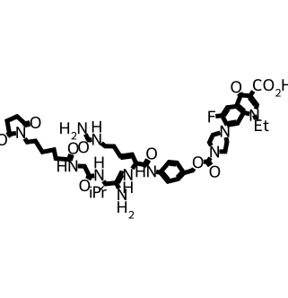 CCn1cc(C(=O)O)c(=O)c2cc(F)c(N3CCN(C(=O)OCc4ccc(NC(=O)C(/C=C/CCNC(N)=O)N/C=C(\N)[C@@H](NC(=O)CNC(=O)CCCCCN5C(=O)CCC5=O)C(C)C)cc4)CC3)cc21